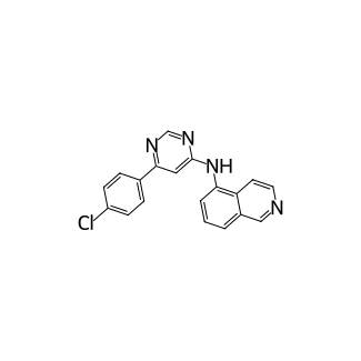 Clc1ccc(-c2cc(Nc3cccc4cnccc34)ncn2)cc1